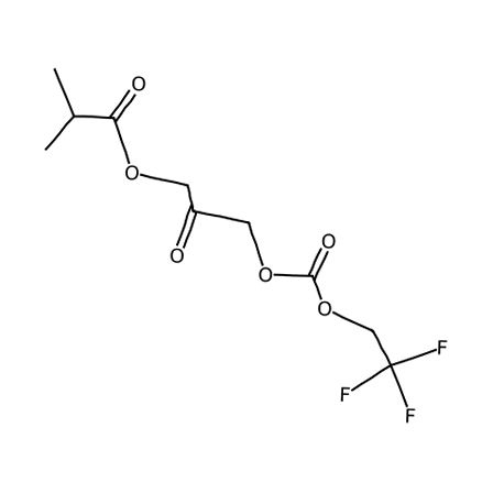 CC(C)C(=O)OCC(=O)COC(=O)OCC(F)(F)F